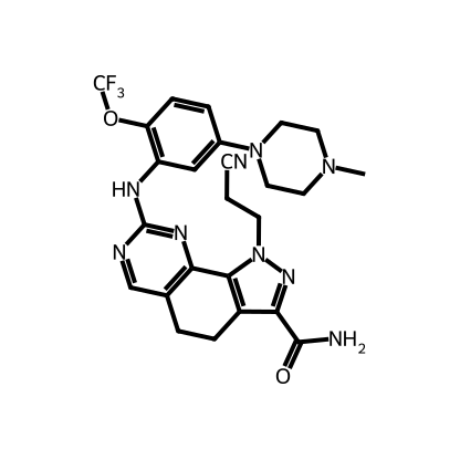 CN1CCN(c2ccc(OC(F)(F)F)c(Nc3ncc4c(n3)-c3c(c(C(N)=O)nn3CCC#N)CC4)c2)CC1